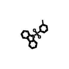 Cc1cccc(S(=O)(=O)n2c3ccccc3c3ccccc32)c1